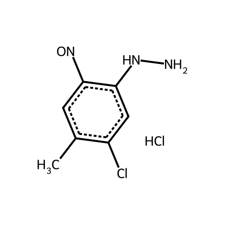 Cc1cc(N=O)c(NN)cc1Cl.Cl